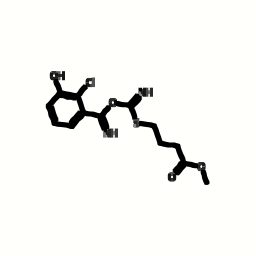 COC(=O)CCCSC(=N)OC(=N)c1cccc(O)c1Cl